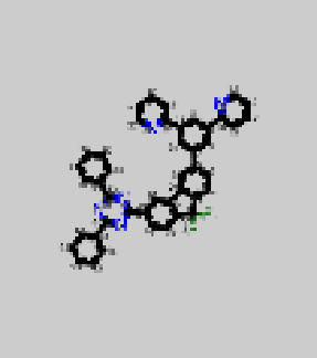 FC1(F)c2ccc(-c3cc(-c4ccccn4)cc(-c4ccccn4)c3)cc2-c2cc(-c3nc(-c4ccccc4)nc(-c4ccccc4)n3)ccc21